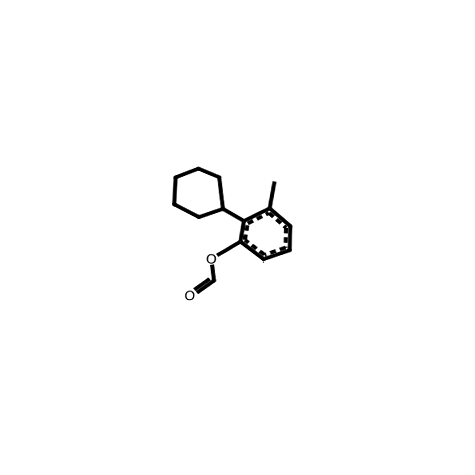 Cc1cc[c]c(OC=O)c1C1CCCCC1